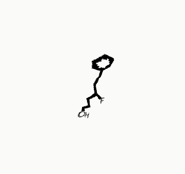 OCCCC(F)CCc1ccccc1